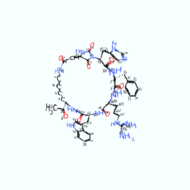 CC(=O)[C@@H]1CCCCNC(=O)C[C@@H]2NC(=O)N(C2=O)[C@@H](Cc2cnc[nH]2)C(=O)N[C@H](Cc2ccccc2)C(=O)N[C@@H](CCCNC(=N)N)C(=O)N[C@@H](Cc2c[nH]c3ccccc23)C(=O)N1